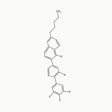 CCCCCc1ccc2c(F)c(-c3ccc(-c4cc(F)c(F)c(F)c4)c(F)c3)ccc2c1